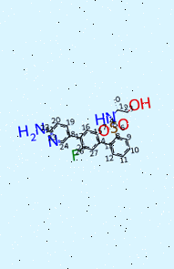 C[C@H](CO)NS(=O)(=O)c1ccccc1-c1ccc(-c2ccc(N)nc2)c(F)c1